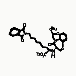 CCOC(=O)[C@@H](CCCCCCCN1C(=O)c2ccccc2C1=O)N[C@H]1CSc2ccccc2N(CC(=O)OC(C)(C)C)C1=O